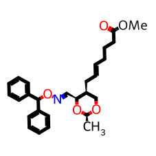 COC(=O)CCCC=CC[C@H]1CO[C@@H](C)O[C@H]1C=NOC(c1ccccc1)c1ccccc1